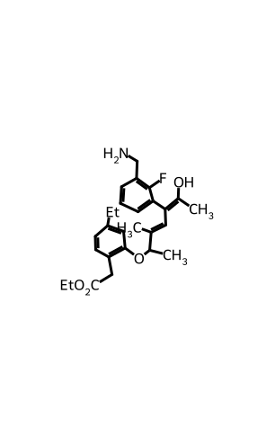 CCOC(=O)Cc1ccc(CC)cc1OC(C)/C(C)=C/C(=C(\C)O)c1cccc(CN)c1F